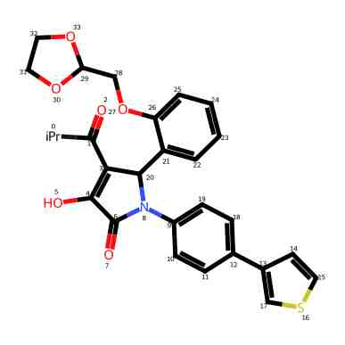 CC(C)C(=O)C1=C(O)C(=O)N(c2ccc(-c3ccsc3)cc2)C1c1ccccc1OCC1OCCO1